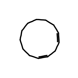 [CH]1CCC=CCC=CCCCCC1